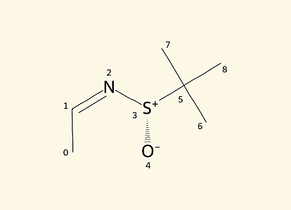 C/C=N\[S@@+]([O-])C(C)(C)C